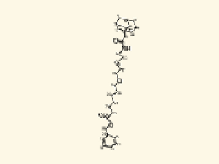 O=C(CC12CC3CC(CC(C3)C1)C2)NCCOCCOCCCCCCC(=O)OCc1ccccc1